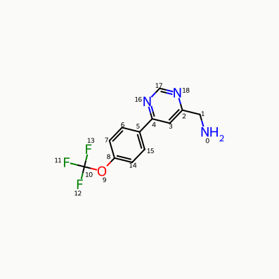 NCc1cc(-c2ccc(OC(F)(F)F)cc2)ncn1